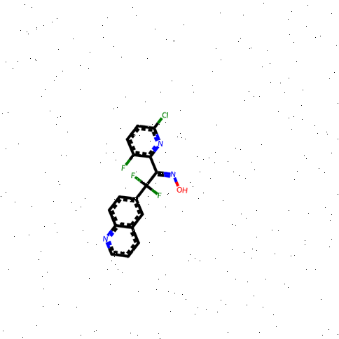 ON=C(c1nc(Cl)ccc1F)C(F)(F)c1ccc2ncccc2c1